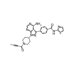 CC#CC(=O)N1CCC(n2nc(-c3ccc(C(=O)Nc4nccs4)cc3)c3c(N)ncnc32)CC1